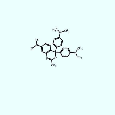 CCN(CC)c1ccc2c(c1)N=C(C)SC2(c1ccc(N(C)C)cc1)c1ccc(N(C)C)cc1